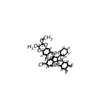 COC(=O)C(C)Oc1ccc(NC(=O)C(C2CCCCC2)C2(c3ccc(Cl)cc3)Nc3cc(F)c(F)cc3N2)c(F)c1